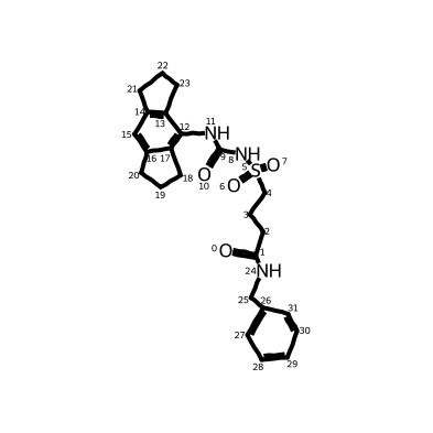 O=C(CCCS(=O)(=O)NC(=O)Nc1c2c(cc3c1CCC3)CCC2)NCc1ccccc1